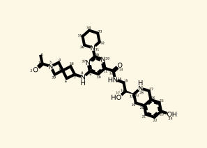 CC(=O)N1CC2(CC(Nc3cc(C(=O)NCC(O)[C@@H]4Cc5ccc(O)cc5CN4)nc(N4CCCCC4)n3)C2)C1